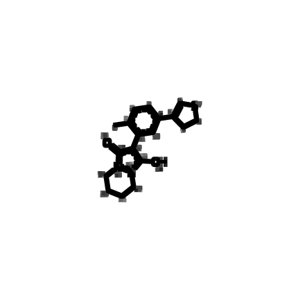 Cc1ccc(C2=CSCC2)cc1-c1c(O)n2n(c1=O)CCCC2